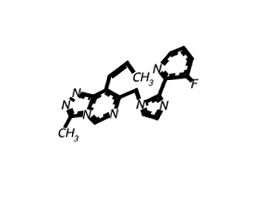 C/C=C\c1c(Cn2ccnc2-c2ncccc2F)ncn2c(C)nnc12